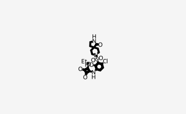 CCOc1c(Nc2ccc(Cl)c(S(=O)(=O)N3CCC4(CCNC4=O)CC3)c2O)c(=O)c1=O